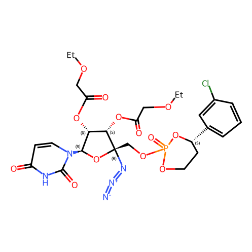 CCOCC(=O)O[C@H]1[C@H](n2ccc(=O)[nH]c2=O)O[C@@](COP2(=O)OCC[C@@H](c3cccc(Cl)c3)O2)(N=[N+]=[N-])[C@H]1OC(=O)COCC